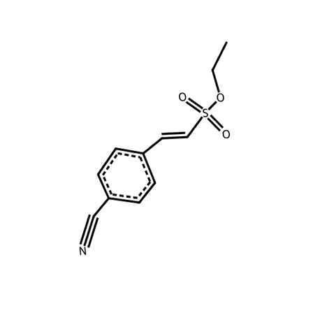 CCOS(=O)(=O)/C=C/c1ccc(C#N)cc1